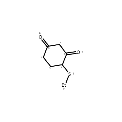 CCSC1CCC(=O)CC1=O